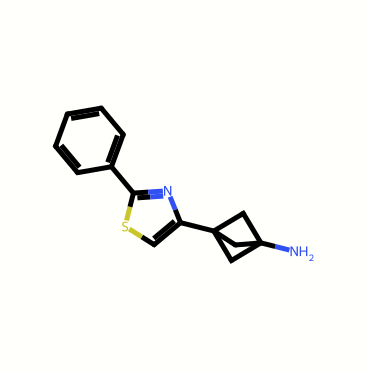 NC12CC(c3csc(-c4ccccc4)n3)(C1)C2